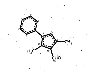 Cc1cn(-c2ccccc2)c(C)c1C=O